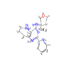 CC1(Nc2nc(-c3ccccn3)nc3c2NCCC3)CCOC1